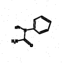 CCCN(C(N)=O)c1ccccc1